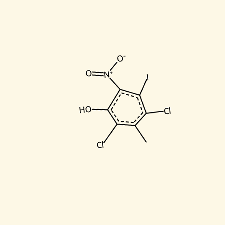 Cc1c(Cl)c(O)c([N+](=O)[O-])c(I)c1Cl